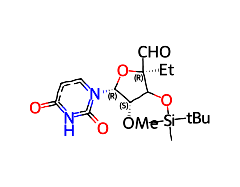 CC[C@@]1(C=O)O[C@@H](n2ccc(=O)[nH]c2=O)[C@@H](OC)C1O[Si](C)(C)C(C)(C)C